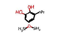 CCCc1cccc(O)c1O.[SiH3]O[SiH3]